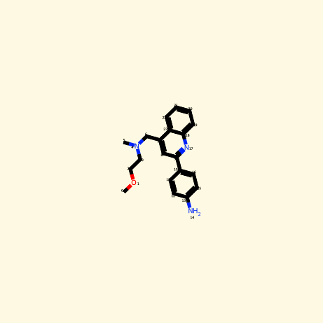 COCCN(C)Cc1cc(-c2ccc(N)cc2)nc2ccccc12